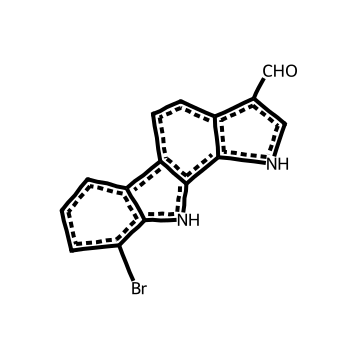 O=Cc1c[nH]c2c1ccc1c3cccc(Br)c3[nH]c12